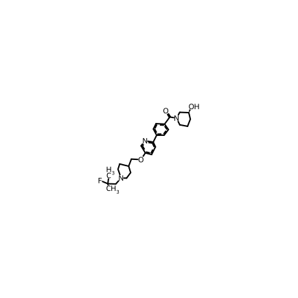 CC(C)(F)CN1CCC(COc2ccc(-c3ccc(C(=O)N4CCC[C@H](O)C4)cc3)nc2)CC1